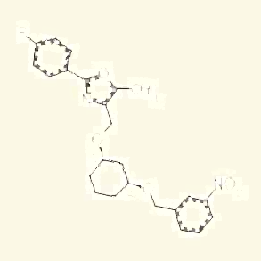 Cc1oc(-c2ccc(F)cc2)nc1CO[C@@H]1CCC[C@H](OCc2cccc([N+](=O)[O-])c2)C1